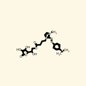 CN(C)c1ccc(/N=N/c2n(CCCC(=O)OCC(O)C3OC(=O)C(O)=C3O)cc[n+]2C)cc1